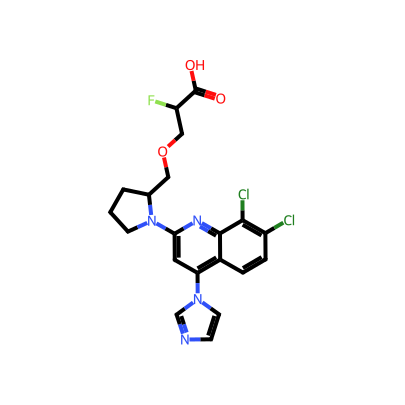 O=C(O)C(F)COCC1CCCN1c1cc(-n2ccnc2)c2ccc(Cl)c(Cl)c2n1